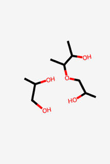 CC(O)CO.CC(O)COC(C)C(C)O